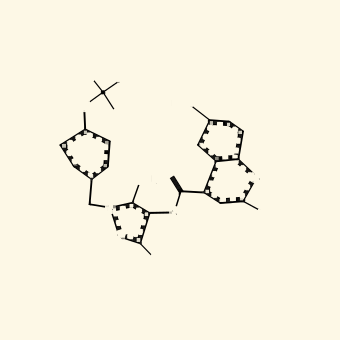 Cc1ccc2nc(C)cc(C(=O)Nc3c(C)nn(Cc4ccc(OC(F)(F)F)cc4)c3C)c2c1